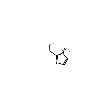 CCCCc1ncc[nH]1.N